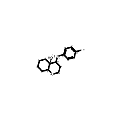 O[C@]12CCCCC1OCCC2Nc1ccc(F)cc1